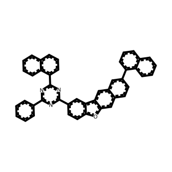 c1ccc(-c2nc(-c3ccc4oc5cc6ccc(-c7cccc8ccccc78)cc6cc5c4c3)nc(-c3cccc4ccccc34)n2)cc1